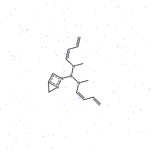 C=C/C=C\N(C)B(N(C)/C=C\C=C)n1cc2n1C2